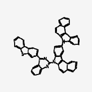 c1ccc2c(c1)ccc1c2c2ccccc2n1-c1ccc2c(c1)c1c3ccccc3ccc1n2-c1nc(-c2ccc3c(c2)sc2ccccc23)c2ccccc2n1